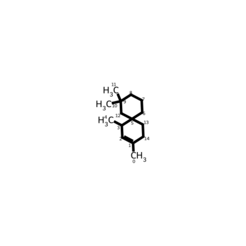 CC1=CC(C)C2(CCCC(C)(C)C2)CC1